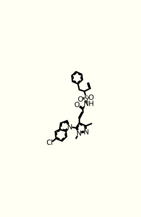 C=CC(Cc1ccccc1)S(=O)(=O)NC(=O)/C=C/c1c(C)nn(C)c1-n1ccc2cc(Cl)ccc21